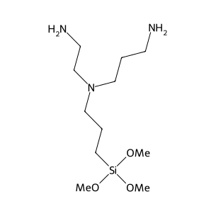 CO[Si](CCCN(CCN)CCCN)(OC)OC